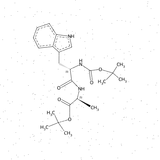 C[C@H](NC(=O)[C@H](Cc1c[nH]c2ccccc12)NC(=O)OC(C)(C)C)C(=O)OC(C)(C)C